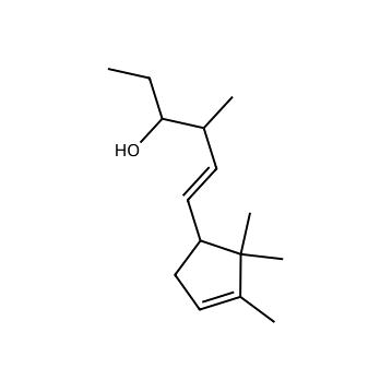 CCC(O)C(C)/C=C/C1CC=C(C)C1(C)C